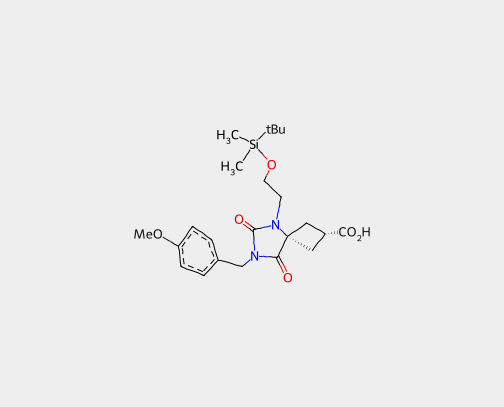 COc1ccc(CN2C(=O)N(CCO[Si](C)(C)C(C)(C)C)[C@]3(C[C@@H](C(=O)O)C3)C2=O)cc1